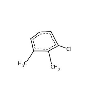 Cc1cccc(Cl)c1C